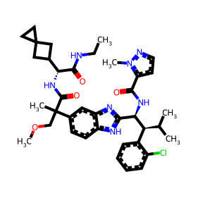 CCNC(=O)[C@H](NC(=O)C(C)(COC)c1ccc2[nH]c([C@@H](NC(=O)c3ccnn3C)[C@H](c3ccccc3Cl)C(C)C)nc2c1)C1CC2(CC2)C1